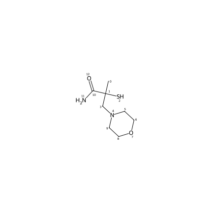 CC(S)(CN1CCOCC1)C(N)=O